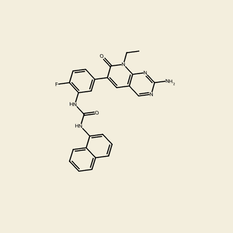 CCn1c(=O)c(-c2ccc(F)c(NC(=O)Nc3cccc4ccccc34)c2)cc2cnc(N)nc21